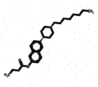 CCCCCCCC[C@H]1CC[C@H](c2ccc3cc(OC(=O)CCC)ccc3c2)CC1